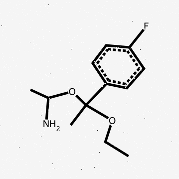 CCOC(C)(OC(C)N)c1ccc(F)cc1